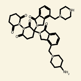 NC1CCN(Cc2cccc3c2CN(C2(N4Cc5c(CN6CCNCC6)cccc5C4=O)CCC(=O)N(N4C(=O)CCCC4=O)C2=O)C3=O)CC1